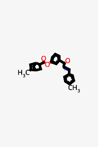 Cc1ccc(/C=C/C(=O)c2cccc(OC(=O)C3CC4CC3CC4C)c2)cc1